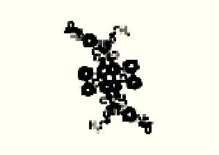 CCOCCC(C(=O)Nc1ccc(NCC2CO2)cc1)N1C(=O)c2cc(Oc3ccccc3)c3c4c(Oc5ccccc5)cc5c6c(cc(Oc7ccccc7)c(c7c(Oc8ccccc8)cc(c2c37)C1=O)c64)C(=O)N(C(CCOCC)C(=O)Nc1ccc(NCC2CO2)cc1)C5=O